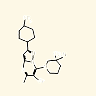 Cc1nc2cc(C3CCC(C(F)(F)F)CC3)nn2c(N2CCC[C@](C)(C(=O)O)C2)c1C(C)C